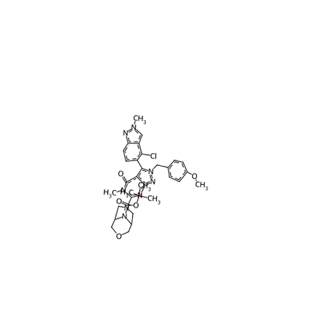 COc1ccc(Cn2nc3nc(N4CC5COCC(C4)N5C(=O)OC(C)(C)C)n(C)c(=O)c3c2-c2ccc3nn(C)cc3c2Cl)cc1